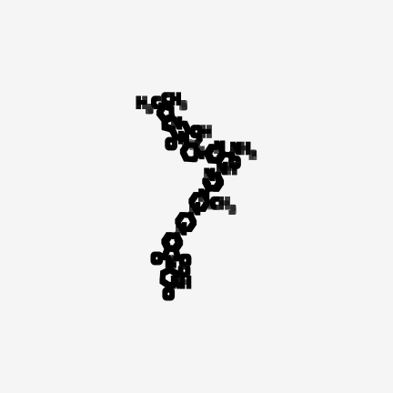 C[C@H]1CN(C2CCN(c3ccc4c(c3)C(=O)N(C3CCC(=O)NC3=O)C4=O)CC2)CCN1c1ccc(Nc2cc(N3CCC[C@@H](N4CCn5c(cc6c5CC(C)(C)C6)C4=O)[C@H]3CO)cnc2C(N)=O)nc1